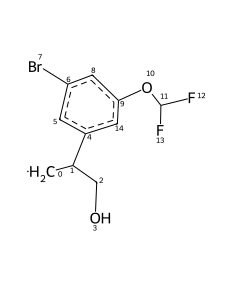 [CH2]C(CO)c1cc(Br)cc(OC(F)F)c1